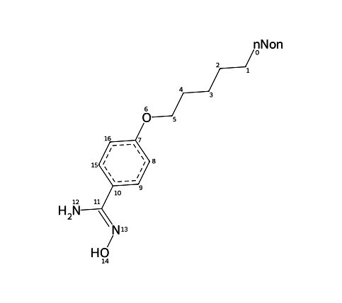 CCCCCCCCCCCCCCOc1ccc(C(N)=NO)cc1